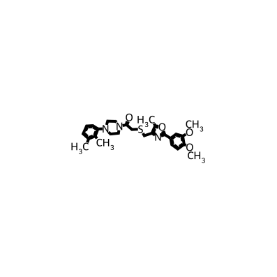 COc1ccc(-c2nc(CSCC(=O)N3CCN(c4cccc(C)c4C)CC3)c(C)o2)cc1OC